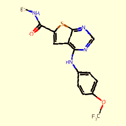 CCNC(=O)c1cc2c(Nc3ccc(OC(F)(F)F)cc3)ncnc2s1